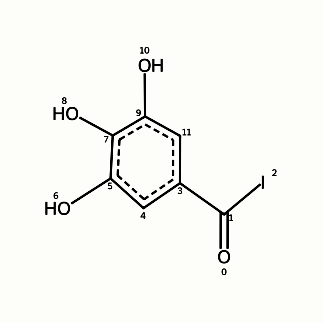 O=C(I)c1cc(O)c(O)c(O)c1